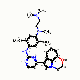 COc1cc(N(C)CCN(C)C)c([N+](=O)[O-])cc1Nc1nccc(-c2cn3c4c(cccc24)OCC3)n1